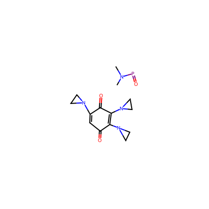 CN(C)P=O.O=C1C=C(N2CC2)C(=O)C(N2CC2)=C1N1CC1